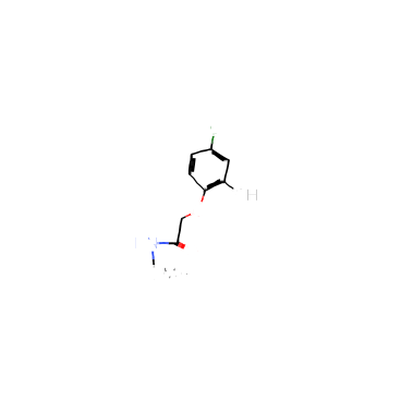 CONC(=O)COc1ccc(Cl)cc1C